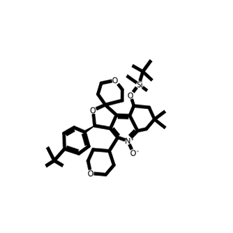 CC1(C)Cc2c(c3c(c(C4CCOCC4)[n+]2[O-])[C@@H](c2ccc(C(C)(C)C)cc2)OC32CCOCC2)C(O[Si](C)(C)C(C)(C)C)C1